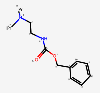 CC(C)N(CCNC(=O)OCc1ccccc1)C(C)C